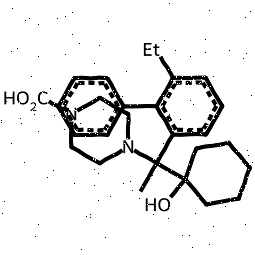 CCc1cccc(C(C)(N2CCN(C(=O)O)CC2)C2(O)CCCCC2)c1-c1ccccc1